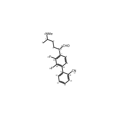 CNC(C)CCN(C=O)c1ccc(-c2ccccc2C#N)c(F)c1F